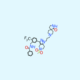 CS(=O)(=O)N1CCc2c(c(-c3ccc(C(F)(F)F)c(CNC(=O)c4ccccc4)c3)nn2CCCN2CCC3(CCNC3=O)CC2)C1